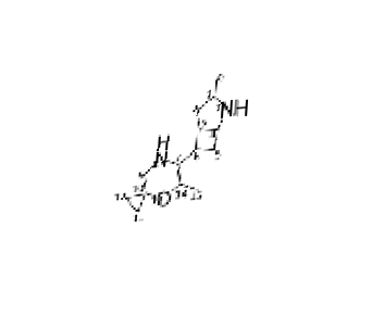 CC1CC2C(CC2C2NCC3(CC3)OC2C)N1